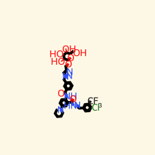 O=C(Nc1ccc(N2CCCCC2)cc1C(=O)N/N=C/c1ccc(Cl)c(C(F)(F)F)c1)c1cccc(Cn2cc(CO[C@H]3OC(CO)[C@H](O)C(O)[C@@H]3O)nn2)c1